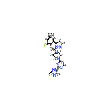 Cc1nc(C)n(-c2ncnc(N3CCN(C(=O)N4N=CCC4c4cc(F)cc(C#N)c4)CC3)n2)n1